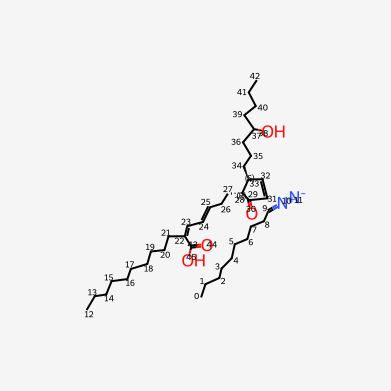 CCCCCCCCCC=[N+]=[N-].CCCCCCCCCCC(=CC=CCC[C@H]1C(=O)C=C[C@@H]1CCCC(O)CCCC)C(=O)O